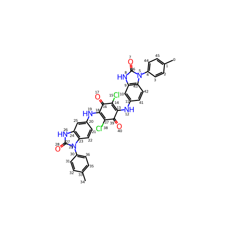 Cc1ccc(-n2c(=O)[nH]c3cc(NC4=C(Cl)C(=O)C(Nc5ccc6c(c5)[nH]c(=O)n6-c5ccc(C)cc5)=C(Cl)C4=O)ccc32)cc1